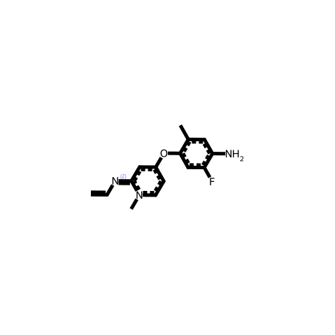 C=C/N=c1/cc(Oc2cc(F)c(N)cc2C)ccn1C